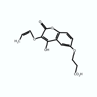 C/C=C\Oc1c(O)c2cc(OCCC(=O)O)ccc2oc1=O